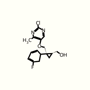 Cc1nc(Cl)ncc1OC[C@@]1(C2C=CC=C(F)C2)C[C@H]1CO